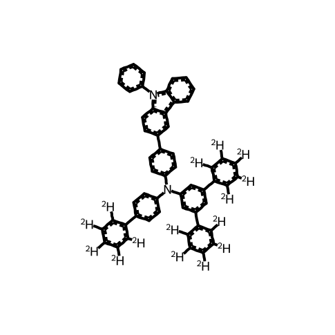 [2H]c1c([2H])c([2H])c(-c2ccc(N(c3ccc(-c4ccc5c(c4)c4ccccc4n5-c4ccccc4)cc3)c3cc(-c4c([2H])c([2H])c([2H])c([2H])c4[2H])cc(-c4c([2H])c([2H])c([2H])c([2H])c4[2H])c3)cc2)c([2H])c1[2H]